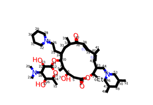 CCC1OC(=O)CC(O)C(C)C(OC2OC(C)C(O)C(N(C)C)C2O)C(CCN2CCCCC2)CC(C)C(=O)/C=C/C(C)=C/C1CN1CC(C)CC(C)C1